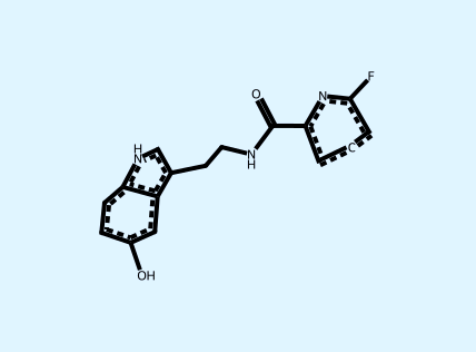 O=C(NCCc1c[nH]c2ccc(O)cc12)c1cccc(F)n1